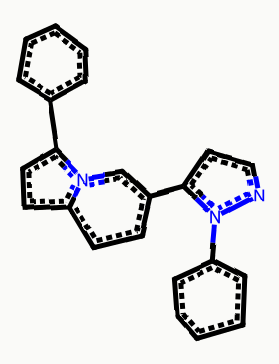 c1ccc(-c2ccc3ccc(-c4ccnn4-c4ccccc4)cn23)cc1